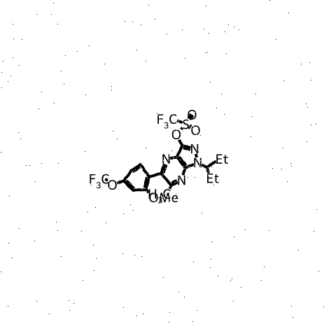 CCC(CC)n1nc(OS(=O)(=O)C(F)(F)F)c2nc(-c3ccc(OC(F)(F)F)cc3OC)c(C)nc21